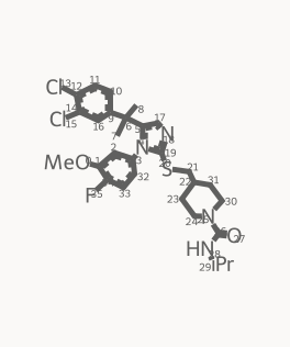 COc1cc(-n2c(C(C)(C)c3ccc(Cl)c(Cl)c3)cnc2SCC2CCN(C(=O)NC(C)C)CC2)ccc1F